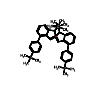 C[Si](C)(C)c1ccc(-c2cccc3c2C=C[CH]3[Hf]([CH3])([CH3])([CH3])([CH3])(=[SiH2])[CH]2C=Cc3c(-c4ccc([Si](C)(C)C)cc4)cccc32)cc1